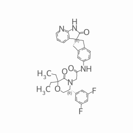 CCC1(CC)OC[C@@H](c2cc(F)cc(F)c2)N(CC(=O)Nc2ccc3c(c2)C[C@@]2(C3)C(=O)Nc3ncccc32)C1=O